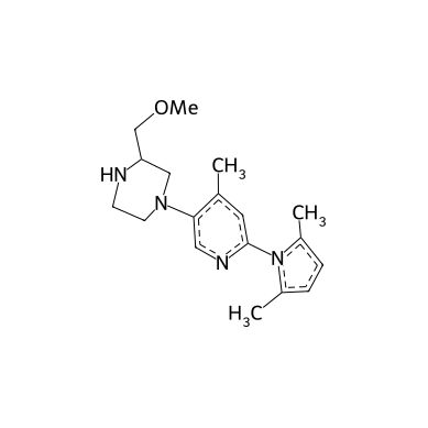 COCC1CN(c2cnc(-n3c(C)ccc3C)cc2C)CCN1